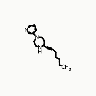 CCCCCC#CC1CCN(c2cccnc2)CCN1